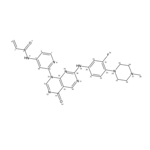 C=CC(=O)Nc1ccnc(-n2cnc(=O)c3cnc(Nc4ccc(N5CCN(C)CC5)c(F)c4)nc32)c1